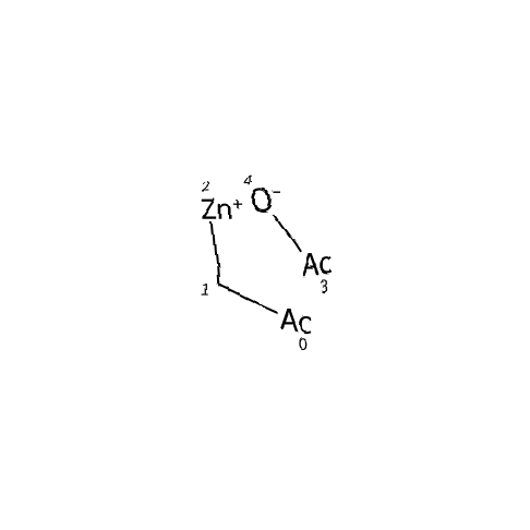 CC(=O)[CH2][Zn+].CC(=O)[O-]